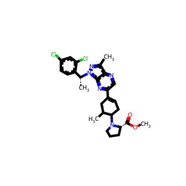 COC(=O)[C@@H]1CCCN1C1CC=C(c2cnc3c(C)nn([C@H](C)c4ccc(Cl)cc4Cl)c3n2)CC1C